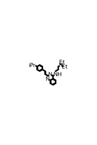 CCN(CC)CCCNc1nc(C=Cc2ccc(C(C)C)cc2)nc2ccccc12